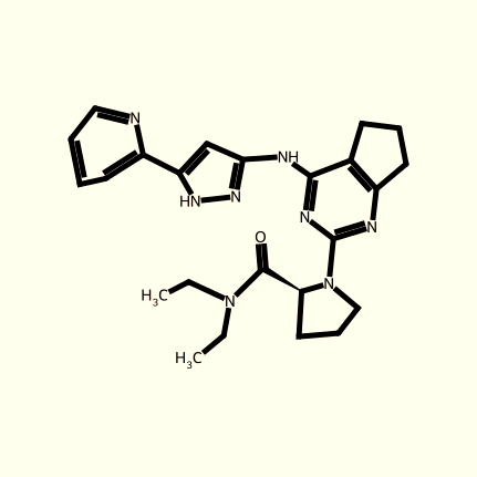 CCN(CC)C(=O)[C@@H]1CCCN1c1nc2c(c(Nc3cc(-c4ccccn4)[nH]n3)n1)CCC2